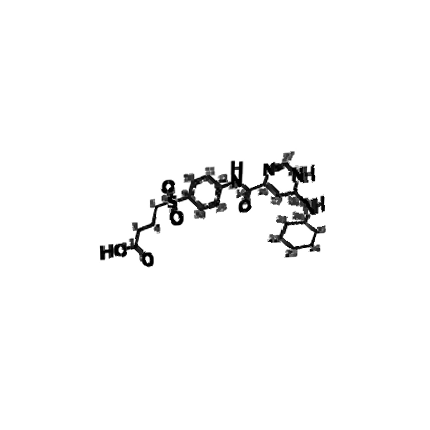 O=C(O)CCCS(=O)(=O)c1ccc(NC(=O)C2=CC(NC3CCCCC3)NC=N2)cc1